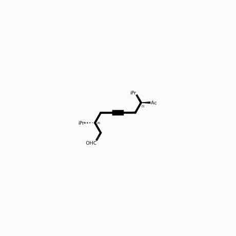 CC(=O)[C@@H](CC#CC[C@H](CC=O)C(C)C)C(C)C